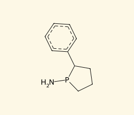 NP1CCCC1c1ccccc1